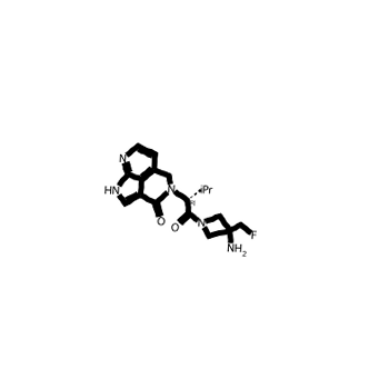 CC(C)[C@H](C(=O)N1CC(N)(CF)C1)N1Cc2ccnc3[nH]cc(c23)C1=O